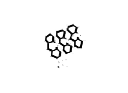 O=P(O)(O)O.c1ccc2nc3ccccc3cc2c1.c1ccc2nc3ccccc3cc2c1.c1ccc2nc3ccccc3cc2c1